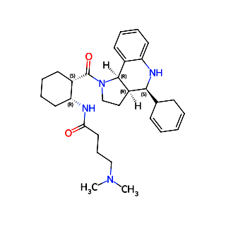 CN(C)CCCC(=O)N[C@@H]1CCCC[C@@H]1C(=O)N1CC[C@@H]2[C@H](C3C=CC=CC3)Nc3ccccc3[C@@H]21